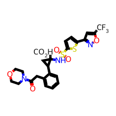 O=C(Cc1ccccc1C1CC1(NS(=O)(=O)c1ccc(-c2cc(C(F)(F)F)on2)s1)C(=O)O)N1CCOCC1